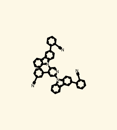 N#Cc1cccc(-c2cc(-n3c4ccccc4c4cc(-c5ccccc5C#N)ccc43)ncc2-n2c3ccccc3c3cc(-c4ccccc4C#N)ccc32)c1